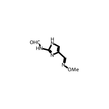 CO/N=[C]/c1c[nH]c(NC=O)n1